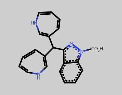 O=C(O)n1nc(C(C2=CNC=CC=C2)C2=CNC=CC=C2)c2ccccc21